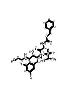 CCCC(CCC)S(=O)(=O)C[C@@H](NC(=O)OCc1ccccc1)C(=O)N[C@@H](Cc1cc(F)cc(F)c1)[C@H](O)CNCCC(C)C